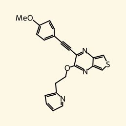 COc1ccc(C#Cc2nc3cscc3nc2OCCc2ccccn2)cc1